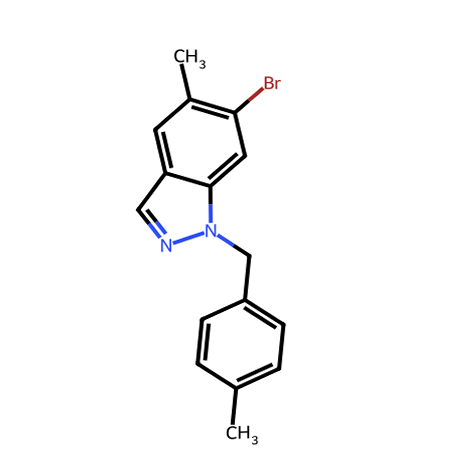 Cc1ccc(Cn2ncc3cc(C)c(Br)cc32)cc1